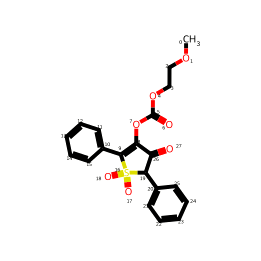 COCCOC(=O)OC1=C(c2ccccc2)S(=O)(=O)C(c2ccccc2)C1=O